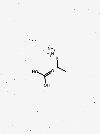 N.N.O=C(O)O.[CH2][CH2][K]